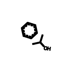 CC(C)O.c1ccccc1